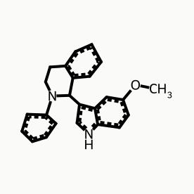 COc1ccc2[nH]cc(C3c4ccccc4CCN3c3ccccc3)c2c1